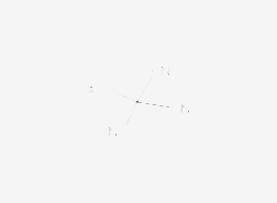 CC(=O)OC(C#N)(C#N)C#N